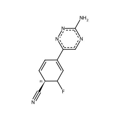 N#C[C@H]1C=CC(c2cnc(N)nn2)=CC1F